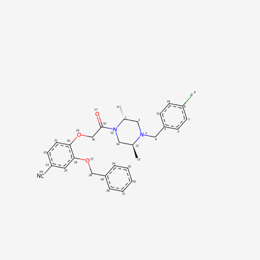 C[C@@H]1CN(Cc2ccc(F)cc2)[C@@H](C)CN1C(=O)COc1ccc(C#N)cc1OCc1ccccc1